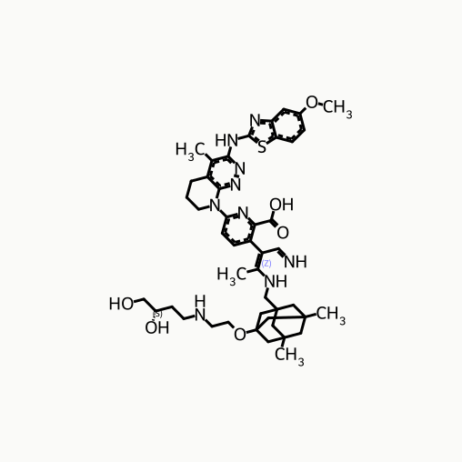 COc1ccc2sc(Nc3nnc4c(c3C)CCCN4c3ccc(/C(C=N)=C(\C)NCC45CC6(C)CC(C)(C4)CC(OCCNCC[C@H](O)CO)(C6)C5)c(C(=O)O)n3)nc2c1